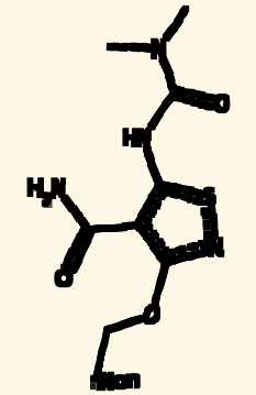 CCCCCCCCCCOc1nsc(NC(=O)N(C)C)c1C(N)=O